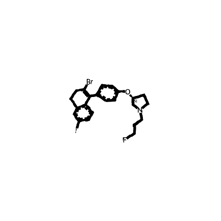 FCCCN1CC[C@H](Oc2ccc(C3=C(Br)CCc4cc(I)ccc43)cc2)C1